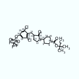 CC(C)(C)OC(=O)N1CCC(N2CCC(Cc3c(Cl)cc(OS(=O)(=O)C(F)(F)F)cc3Cl)C2=O)CC1